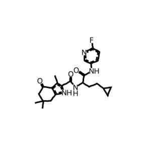 Cc1c(C(=O)NC(CCC2CC2)C(=O)Nc2ccc(F)nc2)[nH]c2c1C(=O)CC(C)(C)C2